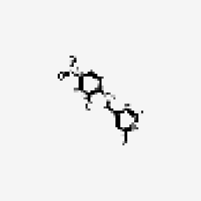 Cc1cc(COc2ccc([N+](=O)[O-])cc2Cl)ccn1